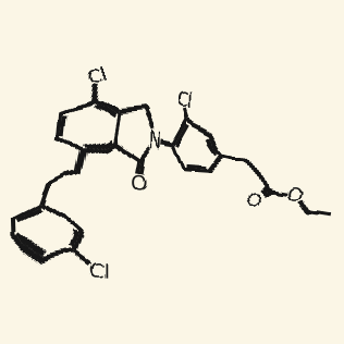 CCOC(=O)Cc1ccc(N2Cc3c(Cl)ccc(CCc4cccc(Cl)c4)c3C2=O)c(Cl)c1